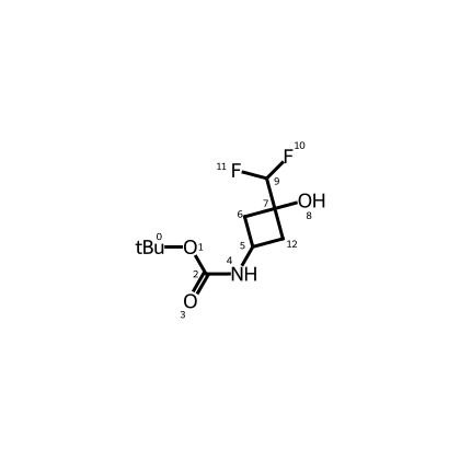 CC(C)(C)OC(=O)NC1CC(O)(C(F)F)C1